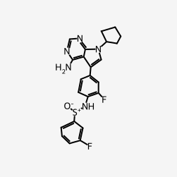 Nc1ncnc2c1c(-c1ccc(N[S+]([O-])c3cccc(F)c3)c(F)c1)cn2C1CCCC1